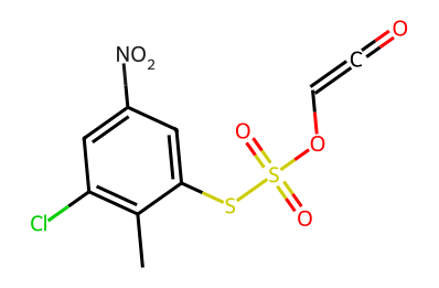 Cc1c(Cl)cc([N+](=O)[O-])cc1SS(=O)(=O)OC=C=O